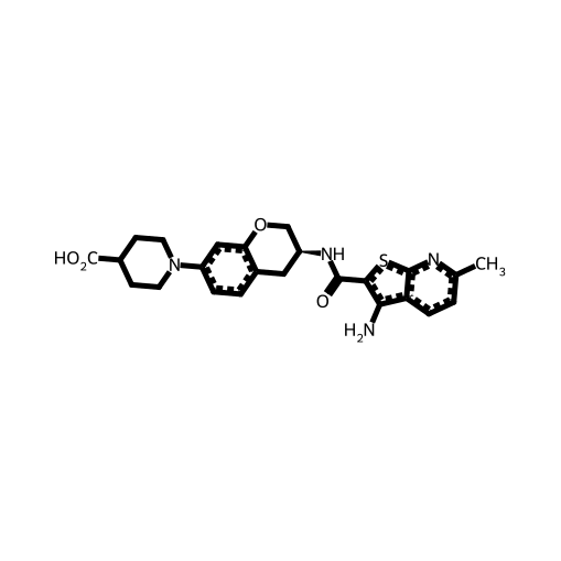 Cc1ccc2c(N)c(C(=O)N[C@@H]3COc4cc(N5CCC(C(=O)O)CC5)ccc4C3)sc2n1